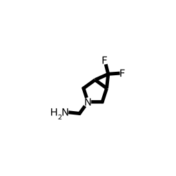 NCN1CC2C(C1)C2(F)F